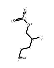 CCCCCCCCC(CC)CO[SH](=O)=O